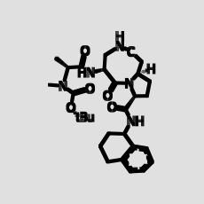 C[C@@H](C(=O)N[C@H]1CNCC[C@H]2CC[C@@H](C(=O)NC3CCCc4ccccc43)N2C1=O)N(C)C(=O)OC(C)(C)C